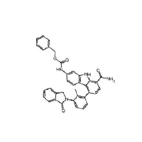 Cc1c(-c2ccc(C(N)=O)c3[nH]c4cc(NC(=O)OCc5ccccc5)ccc4c23)cccc1N1Cc2ccccc2C1=O